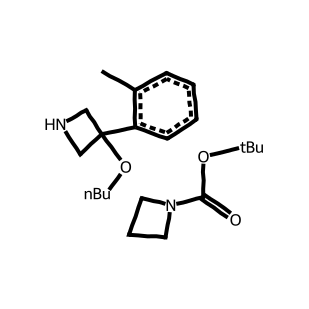 CC(C)(C)OC(=O)N1CCC1.CCCCOC1(c2ccccc2C)CNC1